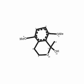 COc1ccc(OC)c2c1C[CH]OC2(C)O